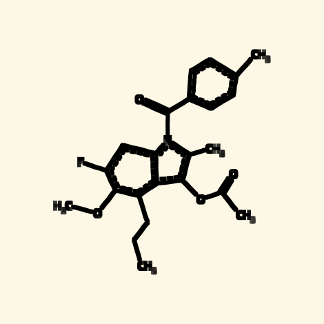 CCCc1c(OC)c(F)cc2c1c(OC(C)=O)c(C)n2C(=O)c1ccc(C)cc1